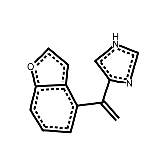 C=C(c1c[nH]cn1)c1cccc2occc12